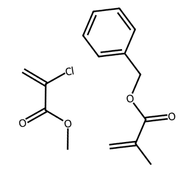 C=C(C)C(=O)OCc1ccccc1.C=C(Cl)C(=O)OC